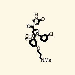 CNCCCOc1cccc(-c2cc(C(=O)N3CNC(=O)C3)nn2-c2cccc(Cl)c2)c1.O=CO